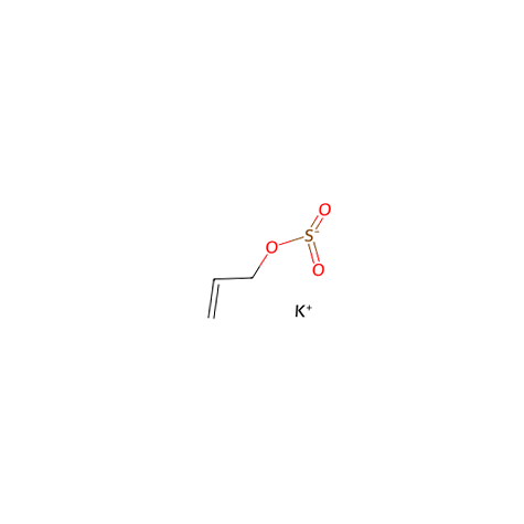 C=CCO[S-](=O)=O.[K+]